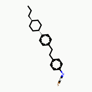 CCC[C@H]1CC[C@H](c2ccc(CCc3ccc(N=C=S)cc3)cc2)CC1